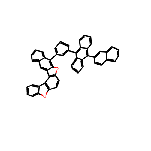 c1cc(-c2c3ccccc3c(-c3ccc4ccccc4c3)c3ccccc23)cc(-c2c3ccccc3cc3c2oc2ccc4oc5ccccc5c4c23)c1